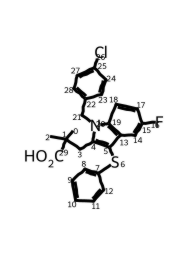 CC(C)(Cc1c(Sc2ccccc2)c2cc(F)ccc2n1Cc1ccc(Cl)cc1)C(=O)O